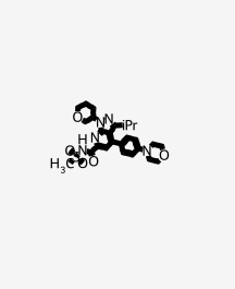 CC(C)c1nn(C2CCCOC2)c2nc(C(=O)NS(C)(=O)=O)cc(-c3ccc(N4CCOCC4)cc3)c12